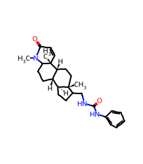 CN1C(=O)C=C[C@@]2(C)C1CC[C@@H]1[C@H]2CC[C@]2(C)C(CNC(=O)Nc3ccccc3)CC[C@@H]12